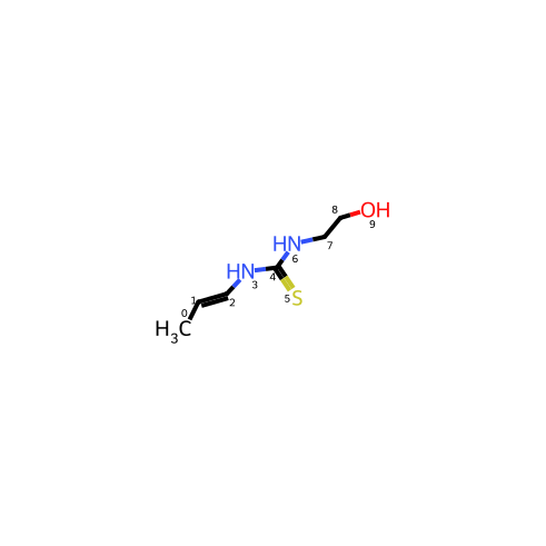 CC=CNC(=S)NCCO